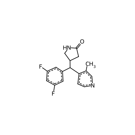 Cc1cnccc1C(c1cc(F)cc(F)c1)C1CNC(=O)C1